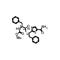 CC(C)(C)OC(=O)N[C@@H](Cc1ccccc1)[C@@H](O)C[C@@H](Cc1ccccc1)c1ncc(C(N)=O)s1